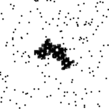 Cc1cc(C)nc(N2CCC3(CC2)NCCN(Cc2nn(C)cc2-c2cccc(F)c2)C3=O)n1